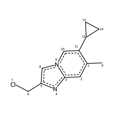 Cc1cc2nc(CCl)cn2cc1C1CC1